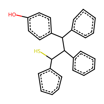 Oc1ccc(C(c2ccccc2)C(c2ccccc2)C(S)c2ccccc2)cc1